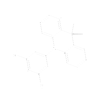 CC1(C)c2ccccc2N(c2cc(Br)cc(Br)c2)c2ccccc21